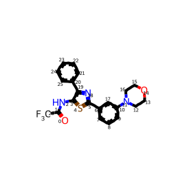 O=C(Nc1sc(-c2cccc(N3CCOCC3)c2)nc1-c1ccccc1)C(F)(F)F